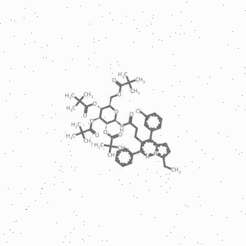 CCc1ccc2c(-c3cccc(Cl)c3)c(CCC(=O)N[C@@H]3O[C@H](COC(=O)C(C)(C)C)[C@@H](OC(=O)C(C)(C)C)[C@H](OC(=O)C(C)(C)C)[C@H]3OC(=O)C(C)(C)C)c(-c3ccccc3)nn12